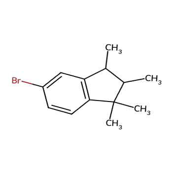 CC1c2cc(Br)ccc2C(C)(C)C1C